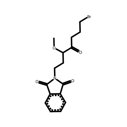 COC(CCN1C(=O)c2ccccc2C1=O)C(=O)CCCBr